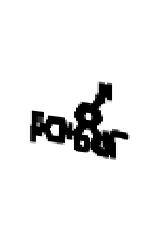 CCn1nccc1-c1cc(C#N)ccc1C(=O)N1CCC(F)(F)CC1